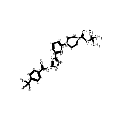 CC(C)(C)OC(=O)N1CCN(c2cccc(-c3nsc(NC(=O)c4ccc(C(F)(F)F)cc4)n3)n2)CC1